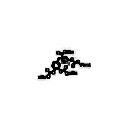 CCCCOC(=O)Oc1ccc(C[C@](N)(CCOC(=O)O[C@@H](C)CCC)C(=O)OC)cc1OC(=O)OCCCC